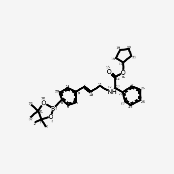 CC1(C)OB(c2ccc(/C=C/CN[C@H](C(=O)OC3CCCC3)c3ccccc3)cc2)OC1(C)C